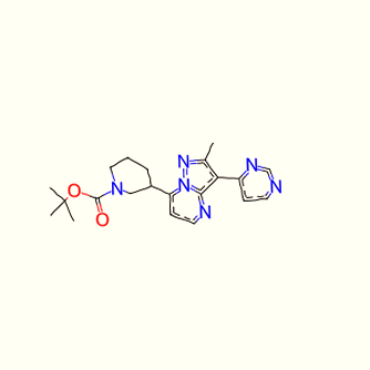 Cc1nn2c(C3CCCN(C(=O)OC(C)(C)C)C3)ccnc2c1-c1ccncn1